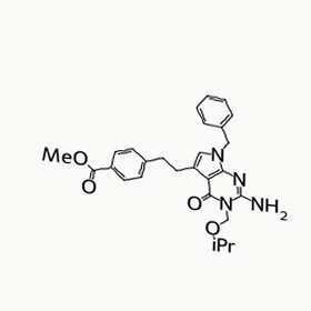 COC(=O)c1ccc(CCc2cn(Cc3ccccc3)c3nc(N)n(COC(C)C)c(=O)c23)cc1